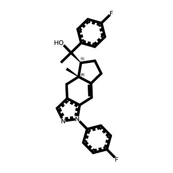 CC(O)(c1ccc(F)cc1)[C@H]1CCC2=Cc3c(cnn3-c3ccc(F)cc3)C[C@@]21C